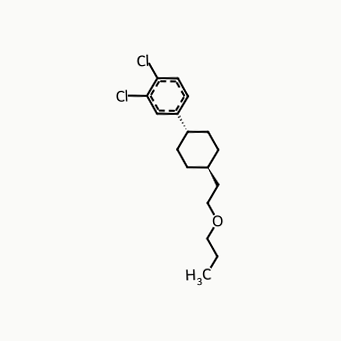 CCCOCC[C@H]1CC[C@H](c2ccc(Cl)c(Cl)c2)CC1